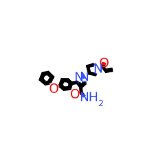 C=CC(=O)N1CC[C@@H](n2cc(C(N)=O)c(-c3ccc(Oc4ccccc4)cc3)n2)C1